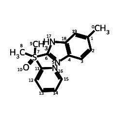 Cc1ccc2nc(S(C)(C)(=O)c3ccccn3)[nH]c2c1